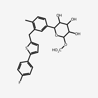 Cc1ccc(C2OC(OC(=O)O)C(O)C(O)C2O)cc1Cc1ccc(-c2ccc(F)cc2)s1